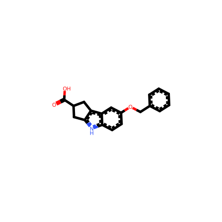 O=C(O)C1Cc2[nH]c3ccc(OCc4ccccc4)cc3c2C1